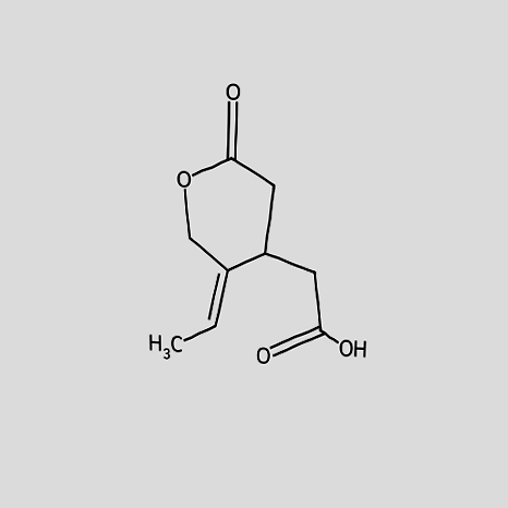 CC=C1COC(=O)CC1CC(=O)O